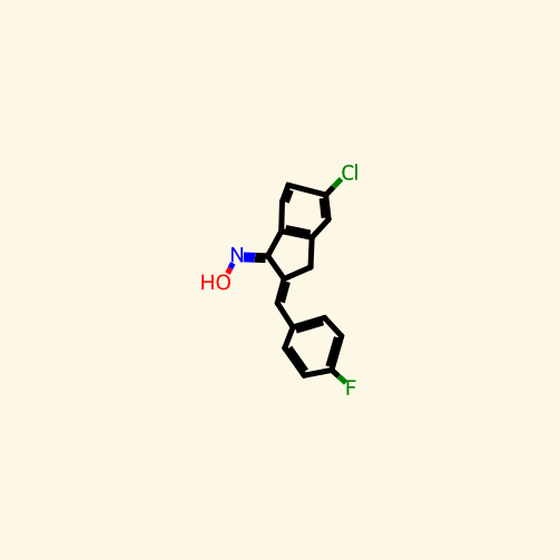 O/N=C1\C(=C\c2ccc(F)cc2)Cc2cc(Cl)ccc21